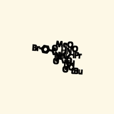 COC(=O)N[C@H](C(=O)N[C@@H](CNC(=O)OC(C)(C)C)C(=O)NCC(=O)c1ccc(Br)cc1)C(C)C